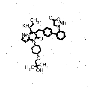 CCCc1c(Cc2ccc(-c3ccccc3N3CC(=O)ON3)cc2)c(=O)n(C2CCC(OCC(C)(C)O)CC2)c2ccnn12.[KH]